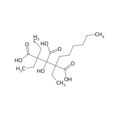 CCCCCCC(CC)(C(=O)O)C(O)(C(=O)O)C(CC)(CC)C(=O)O